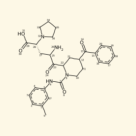 Cc1cccc(NC(=O)N2CCC(C(=O)c3ccccc3)CC2C(=O)C(N)C[C@H](C(=O)O)N2CCCC2)c1